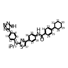 CC(C)N(c1ccc(-c2nnn[nH]2)cc1)c1nc(-c2ccc(NC(=O)c3ccc(C4CCCCC4)cc3)cc2)cs1